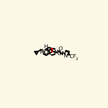 O=C(Cn1ccc(C(F)(F)F)n1)N1CC[C@]23CCN(CC4CC4)[C@H](Cc4ccc(O)cc42)[C@]3(O)CC1